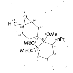 CCCC1CCC[Si](OC)(OC)C1(OC)C1CCC2(C)OC2C1